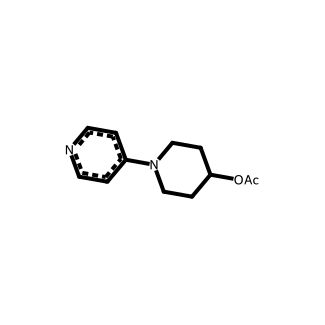 CC(=O)OC1CCN(c2ccncc2)CC1